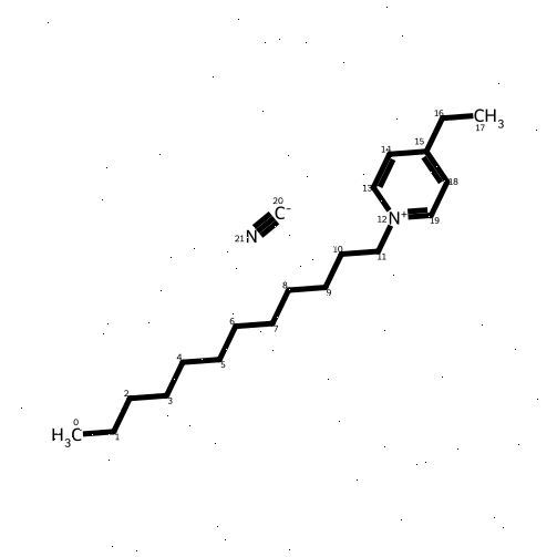 CCCCCCCCCCCC[n+]1ccc(CC)cc1.[C-]#N